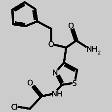 NC(=O)C(OCc1ccccc1)c1csc(NC(=O)CCl)n1